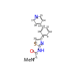 CNCC(=O)Nc1nc(-c2cccc(-c3ccncc3)c2)cs1